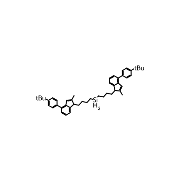 CC1=Cc2c(-c3ccc(C(C)(C)C)cc3)cccc2C1CCCC[SiH2]CCCCC1C(C)=Cc2c(-c3ccc(C(C)(C)C)cc3)cccc21